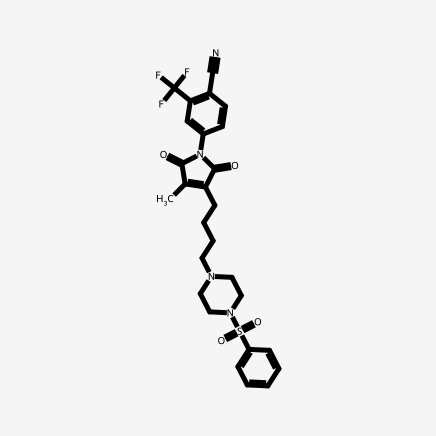 CC1=C(CCCCN2CCN(S(=O)(=O)c3ccccc3)CC2)C(=O)N(c2ccc(C#N)c(C(F)(F)F)c2)C1=O